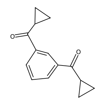 O=C(c1cccc(C(=O)C2CC2)c1)C1CC1